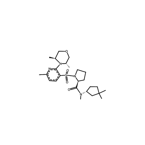 Cc1ccc(S(=O)(=O)N2CCC[C@H]2C(=O)N(C)[C@@H]2CCC(C)(C)C2)c(N2[C@@H](C)COC[C@@H]2C)n1